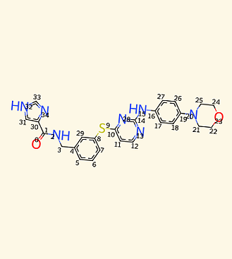 O=C(NCc1cccc(Sc2ccnc(Nc3ccc(N4CCOCC4)cc3)n2)c1)c1c[nH]cn1